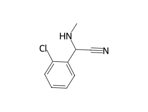 CNC(C#N)c1ccccc1Cl